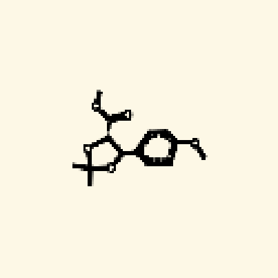 COC(=O)[C@H]1OC(C)(C)O[C@@H]1c1ccc(OC)cc1